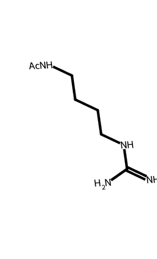 CC(=O)NCCCCNC(=N)N